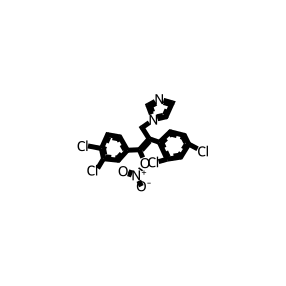 O=[N+]([O-])O/C(=C(/Cn1ccnc1)c1ccc(Cl)cc1Cl)c1ccc(Cl)c(Cl)c1